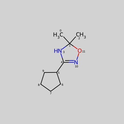 CC1(C)NC(C2CCCC2)=NO1